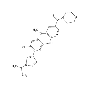 COc1cc(C(=S)N2CCOCC2)ccc1Nc1ncc(Cl)c(-c2cnn(C(C)C)c2)n1